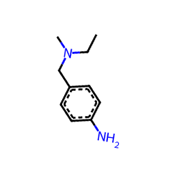 CCN(C)Cc1ccc(N)cc1